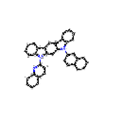 c1ccc2cc(-n3c4ccccc4c4cc5c6ccccc6n(-c6ccc7ccccc7n6)c5cc43)ccc2c1